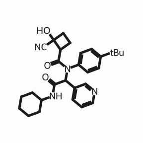 CC(C)(C)c1ccc(N(C(=O)C2CCC2(O)C#N)C(C(=O)NC2CCCCC2)c2cccnc2)cc1